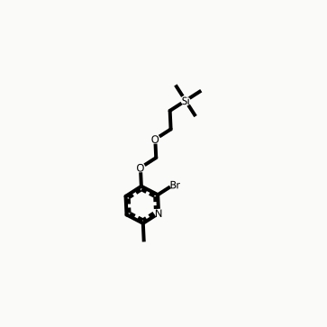 Cc1ccc(OCOCC[Si](C)(C)C)c(Br)n1